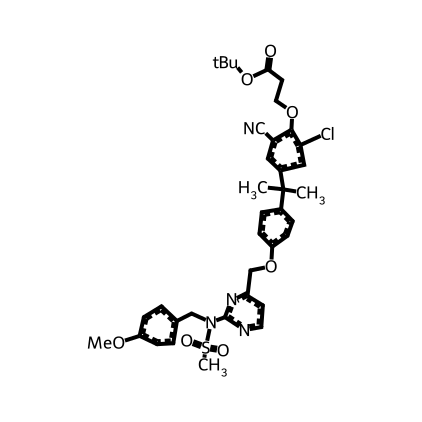 COc1ccc(CN(c2nccc(COc3ccc(C(C)(C)c4cc(Cl)c(OCCC(=O)OC(C)(C)C)c(C#N)c4)cc3)n2)S(C)(=O)=O)cc1